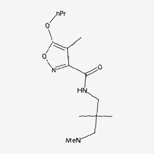 CCCOc1onc(C(=O)NCC(C)(C)CNC)c1C